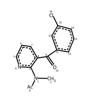 CC(=O)N(C)c1ncccc1C(=O)c1cccc(Cl)c1